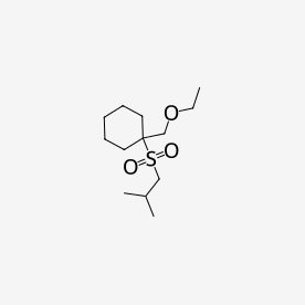 CCOCC1(S(=O)(=O)CC(C)C)CCCCC1